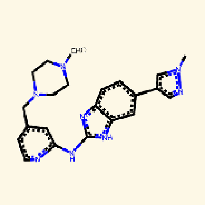 Cn1cc(-c2ccc3nc(Nc4cc(CN5CCN(C=O)CC5)ccn4)[nH]c3c2)cn1